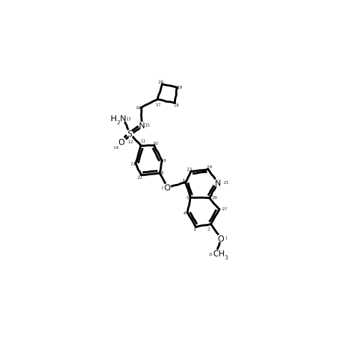 COc1ccc2c(Oc3ccc(S(N)(=O)=NCC4CCC4)cc3)ccnc2c1